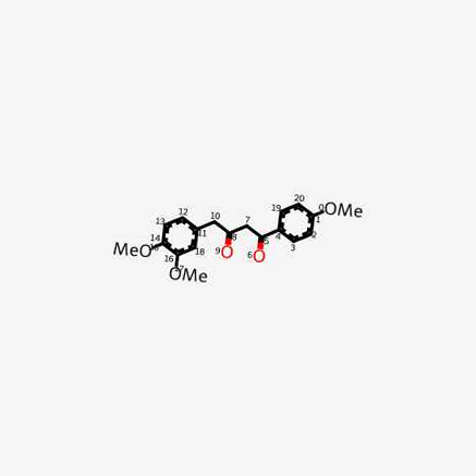 COc1ccc(C(=O)CC(=O)Cc2ccc(OC)c(OC)c2)cc1